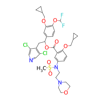 CS(=O)(=O)N(CCN1CCOCC1)c1ccc(OCC2CC2)c(C(=O)OC(Cc2c(Cl)cncc2Cl)c2ccc(OC(F)F)c(OCC3CC3)c2)c1